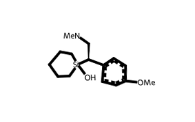 CNC[C@@H](c1ccc(OC)cc1)[Si]1(O)CCCCC1